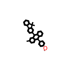 COc1ccc(-c2c3ccccc3c(-c3ccc4c(c3)C(C)(C)c3ccccc3-4)c3cc(C)ccc23)cc1